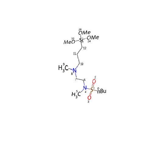 CCCCS(=O)(=O)N(C)CCN(C)CCC[Si](OC)(OC)OC